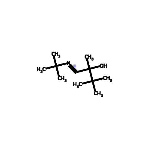 CC(C)(C)/N=C/C(C)(O)C(C)(C)C